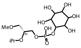 COC[C@H](COP(=O)(O)OC1C(O)C(O)C(O)C(O)C1O)OC(C)C